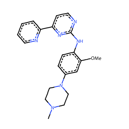 COc1cc(N2CCN(C)CC2)ccc1Nc1nccc(-c2ccccn2)n1